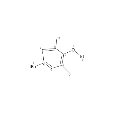 CCOc1c(C)cc(C(C)(C)C)cc1C